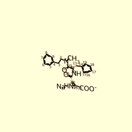 CN(CCc1ccccc1)C(=O)[C@H](Cc1ccccc1)NC(=O)[C@H]1N[C@@H]1C(=O)[O-].[Na+]